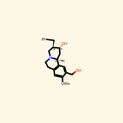 COc1cc2c(cc1CO)[C@@H]1C[C@@H](O)[C@H](CC(C)C)CN1CC2